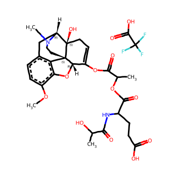 COc1ccc2c3c1O[C@H]1C(OC(=O)C(C)OC(=O)C(CCC(=O)O)NC(=O)C(C)O)=CC[C@@]4(O)[C@@H](C2)N(C)CC[C@]314.O=C(O)C(F)(F)F